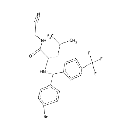 CC(C)C[C@H](N[C@@H](c1ccc(Br)cc1)c1ccc(C(F)(F)F)cc1)C(=O)NCC#N